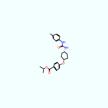 Cc1ccc(NC(=O)N[C@H]2CC[C@H](Oc3ccc(C(=O)OC(C)C)cc3)CC2)cc1